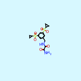 NC(=O)C(=O)NCc1cc(S(=O)(=O)C2CC2)cc(S(=O)(=O)C2CC2)c1